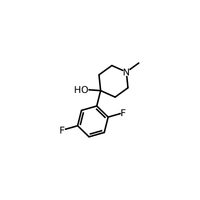 CN1CCC(O)(c2cc(F)ccc2F)CC1